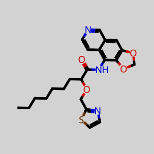 CCCCCCCC(OCc1nccs1)C(=O)Nc1c2c(cc3cnccc13)OCO2